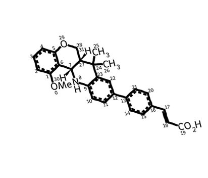 COc1cccc2c1[C@H]1Nc3ccc(-c4ccc(/C=C/C(=O)O)cc4)cc3C(C)(C)[C@H]1CO2